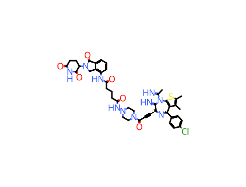 CC(=N)N1C(=N)[C@H](C#CC(=O)N2CCN(NC(=O)CCCC(=O)Nc3cccc4c3CN(C3CCC(=O)NC3=O)C4=O)CC2)N=C(c2ccc(Cl)cc2)c2c1sc(C)c2C